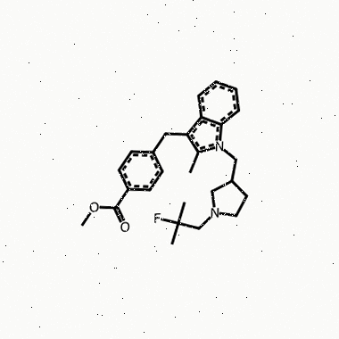 COC(=O)c1ccc(Cc2c(C)n(CC3CCN(CC(C)(C)F)C3)c3ccccc23)cc1